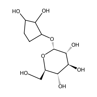 OC[C@H]1O[C@H](OC2CCC(O)C2O)[C@H](O)[C@@H](O)[C@@H]1O